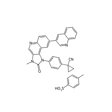 Cc1ccc(S(=O)(=O)O)cc1.Cn1c(=O)n(-c2ccc(C3(C#N)CC3)cc2)c2c3cc(-c4cnc5ccccc5c4)ccc3ncc21